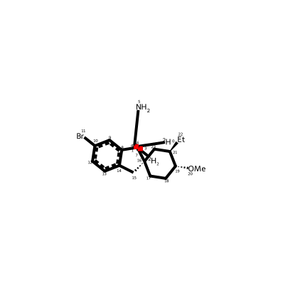 [2H]C1([2H])OC(N)=NC12c1cc(Br)ccc1C[C@]21CC[C@@H](OC)[C@H](CC)C1